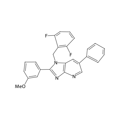 COc1cccc(-c2nc3ncc(-c4ccccc4)cc3n2Cc2c(F)cccc2F)c1